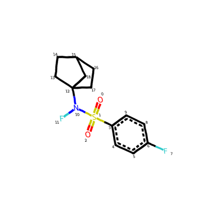 O=S(=O)(c1ccc(F)cc1)N(F)C12CCC(CC1)C2